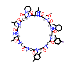 CC[C@H](C)[C@@H]1NC(=O)[C@H](CC(C)C)N(C)C(=O)C[C@@H](C(=O)N2CCCCC2)N(C)C(=O)[C@@H](CC(C)C)NC(=O)[C@H](COC)N(C)C(=O)[C@H](CC2CCCCC2)NC(=O)[C@H](Cc2cccc(I)c2)NC(=O)CN(C)C(=O)[C@H](Cc2ccc(C)cc2)N(C)C(=O)CN(C)C(=O)CN(C)C1=O